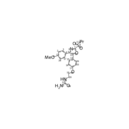 COc1ccc(-c2nc(S(=O)(=O)C(C)C)oc2-c2ccc(OCCNC(N)=O)cc2)cc1